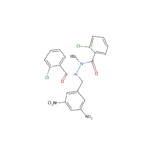 CC(C)(C)N(C(=O)c1ccccc1Cl)N(Cc1cc([N+](=O)[O-])cc([N+](=O)[O-])c1)C(=O)c1ccccc1Cl